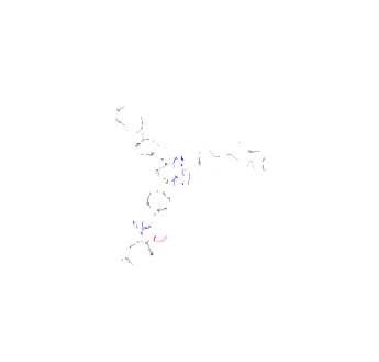 C1=C(C2=Cc3ccccc3CC2)CCC(C2=NC(c3ccc(-c4ccccc4)cc3)=CC(c3ccc(-c4nc5ccccc5o4)cc3)N2)=C1